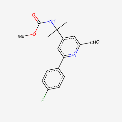 CC(C)(C)OC(=O)NC(C)(C)c1cc(C=O)nc(-c2ccc(F)cc2)c1